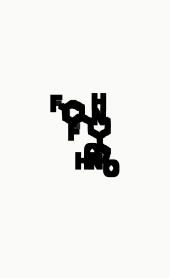 O=c1cc(C2CCNC(c3ccc(F)cc3F)C2)o[nH]1